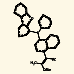 CO/C(C)=C(\C(C)=O)c1ccc(N(c2ccccc2)c2cccc3c2oc2ccccc23)c2ccccc12